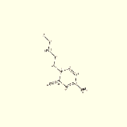 CCNCCn1ccc(N)nc1=O